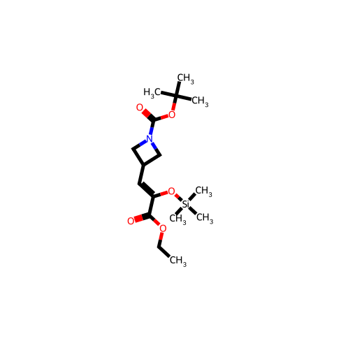 CCOC(=O)/C(=C/C1CN(C(=O)OC(C)(C)C)C1)O[Si](C)(C)C